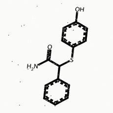 NC(=O)C(Sc1ccc(O)cc1)c1cc[c]cc1